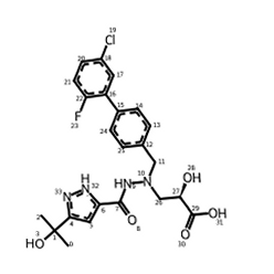 CC(C)(O)c1cc(C(=O)NN(Cc2ccc(-c3cc(Cl)ccc3F)cc2)C[C@@H](O)C(=O)O)[nH]n1